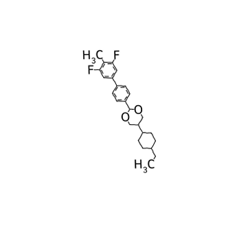 CCC1CCC(C2COC(c3ccc(-c4cc(F)c(C)c(F)c4)cc3)OC2)CC1